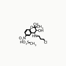 CC1(C)Oc2ccc([N+](=O)[O-])cc2[C@@H](NCCCCl)[C@@H]1O.CS(=O)(=O)O